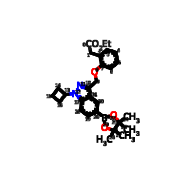 CCOC(=O)Cc1ccccc1OCc1nn(C2CCC2)c2ccc(B3OC(C)(C)C(C)(C)O3)cc12